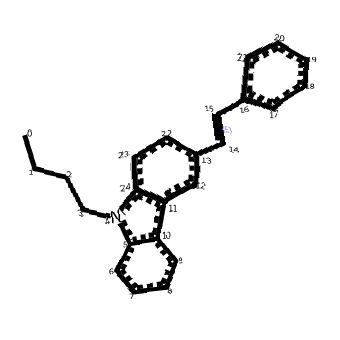 CCCCn1c2ccccc2c2cc(/C=C/c3ccccc3)ccc21